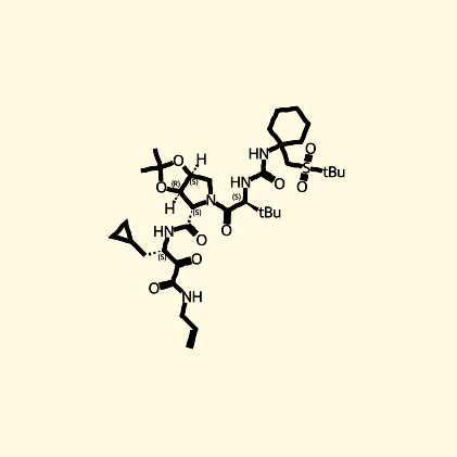 C=CCNC(=O)C(=O)[C@H](CC1CC1)NC(=O)[C@@H]1[C@H]2OC(C)(C)O[C@H]2CN1C(=O)[C@@H](NC(=O)NC1(CS(=O)(=O)C(C)(C)C)CCCCC1)C(C)(C)C